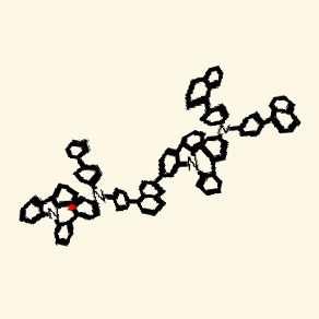 c1ccc(-c2ccc(N(c3ccc(-c4ccccc4-n4c5ccccc5c5ccccc54)cc3)c3ccc(-c4cccc5cc(-c6ccc7c8ccccc8n(-c8ccccc8-c8ccc(N(c9ccc(-c%10cccc%11ccccc%10%11)cc9)c9ccc(-c%10cccc%11ccccc%10%11)cc9)cc8)c7c6)ccc45)cc3)cc2)cc1